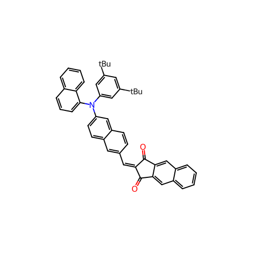 CC(C)(C)c1cc(N(c2ccc3cc(C=C4C(=O)c5cc6ccccc6cc5C4=O)ccc3c2)c2cccc3ccccc23)cc(C(C)(C)C)c1